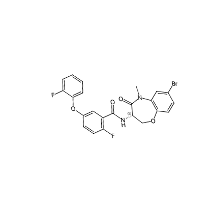 CN1C(=O)[C@@H](NC(=O)c2cc(Oc3ccccc3F)ccc2F)COc2ccc(Br)cc21